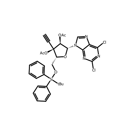 C#C[C@@]1(OC(C)=O)[C@@H](CO[Si](c2ccccc2)(c2ccccc2)C(C)(C)C)O[C@@H](n2cnc3c(Cl)nc(Cl)nc32)[C@@H]1OC(C)=O